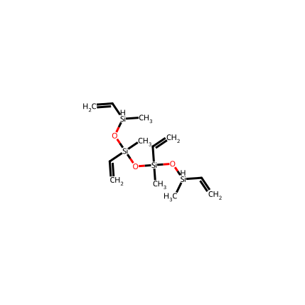 C=C[SiH](C)O[Si](C)(C=C)O[Si](C)(C=C)O[SiH](C)C=C